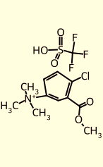 COC(=O)c1cc([N+](C)(C)C)ccc1Cl.O=S(=O)(O)C(F)(F)F